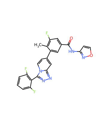 Cc1c(F)cc(C(=O)Nc2ccon2)cc1-c1ccn2c(-c3c(F)cccc3F)nnc2c1